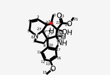 CC[C@]12C=CCN3CC[C@@]4(c5ccc(OC)cc5N[C@H]4[C@@](O)(C(=O)OC)C1)[C@@H]32